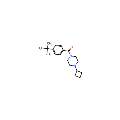 CC(C)(C)c1ccc(C(=O)N2CCN(C3CCC3)CC2)cc1